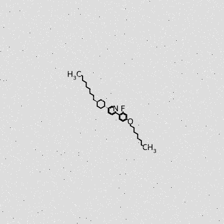 CCCCCCCCC[C@H]1CC[C@H](c2ccc(-c3ccc(OCCCCCCCC)cc3F)nc2)CC1